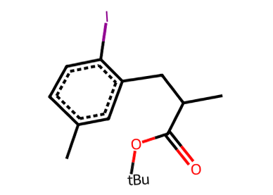 Cc1ccc(I)c(CC(C)C(=O)OC(C)(C)C)c1